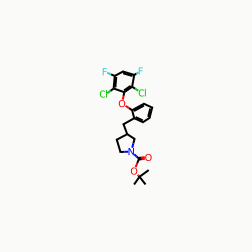 CC(C)(C)OC(=O)N1CCC(Cc2ccccc2Oc2c(Cl)c(F)cc(F)c2Cl)C1